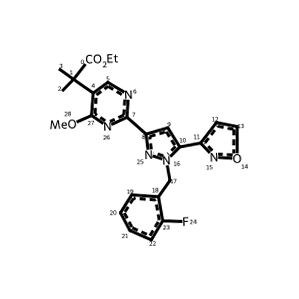 CCOC(=O)C(C)(C)c1cnc(-c2cc(-c3ccon3)n(Cc3ccccc3F)n2)nc1OC